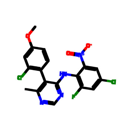 COc1ccc(-c2c(C)ncnc2Nc2c(F)cc(Cl)cc2[N+](=O)[O-])c(Cl)c1